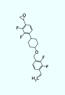 C=Cc1ccc(COC2CCC(c3ccc(C4CO4)c(F)c3F)CC2)c(F)c1F